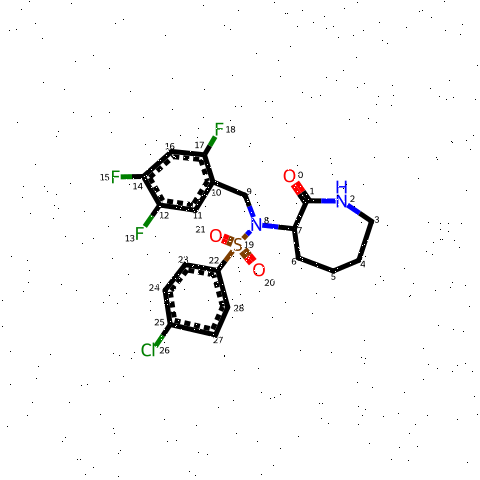 O=C1NCCCCC1N(Cc1cc(F)c(F)cc1F)S(=O)(=O)c1ccc(Cl)cc1